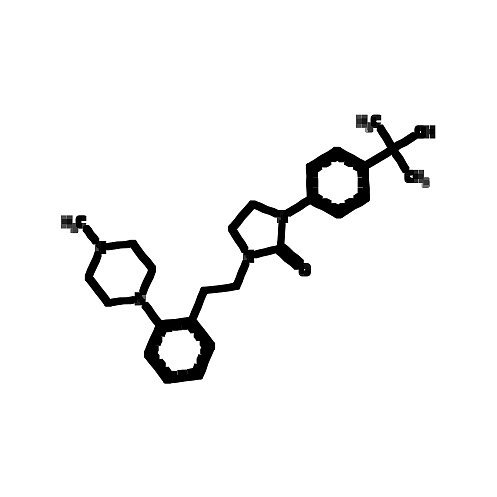 CN1CCN(c2ccccc2CCN2CCN(c3ccc(C(C)(C)O)cc3)C2=O)CC1